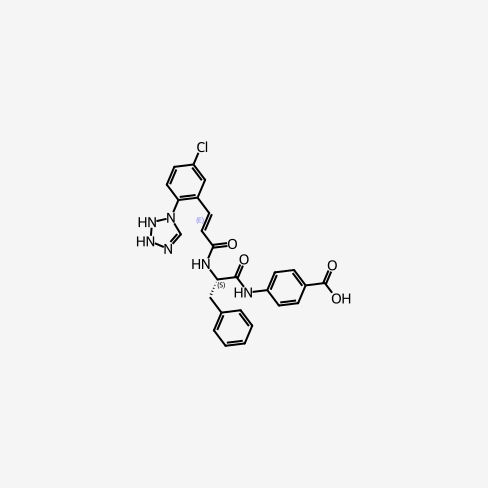 O=C(/C=C/c1cc(Cl)ccc1N1C=NNN1)N[C@@H](Cc1ccccc1)C(=O)Nc1ccc(C(=O)O)cc1